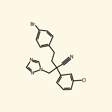 N#CC(CCc1ccc(Br)cc1)(Cn1cncn1)c1cccc(Cl)c1